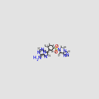 Cc1ccc(S(=O)(=O)N2CCn3cnnc3C2C)cc1-c1cnc2c(N)ncnn12